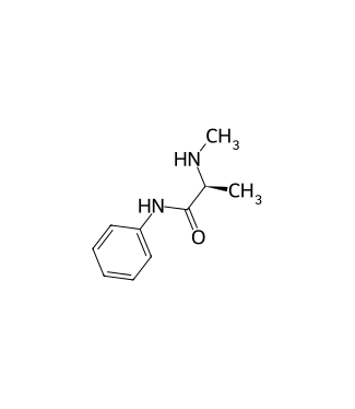 CN[C@@H](C)C(=O)Nc1ccccc1